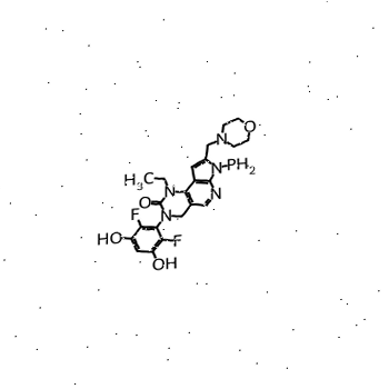 CCN1C(=O)N(c2c(F)c(O)cc(O)c2F)Cc2cnc3c(cc(CN4CCOCC4)n3P)c21